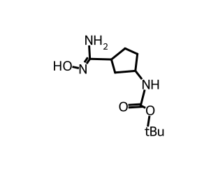 CC(C)(C)OC(=O)NC1CCC(/C(N)=N/O)C1